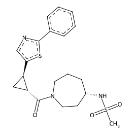 CS(=O)(=O)N[C@H]1CCCN(C(=O)[C@@H]2C[C@H]2c2cnc(-c3ccccc3)s2)CC1